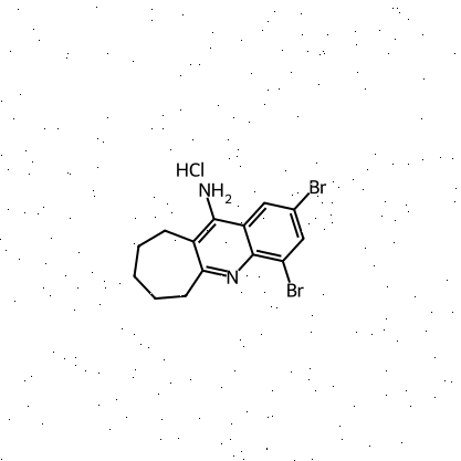 Cl.Nc1c2c(nc3c(Br)cc(Br)cc13)CCCCC2